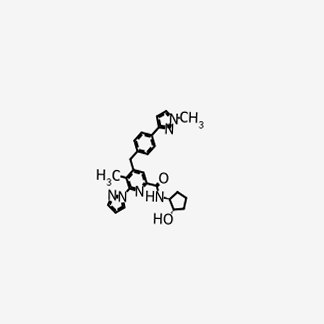 Cc1c(Cc2ccc(-c3ccn(C)n3)cc2)cc(C(=O)N[C@H]2CCC[C@@H]2O)nc1-n1cccn1